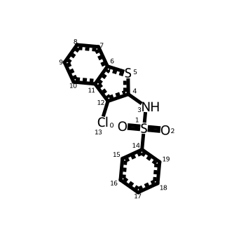 O=S(=O)(Nc1sc2ccccc2c1Cl)c1ccccc1